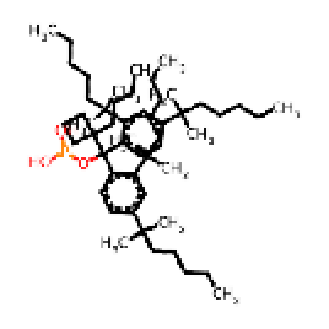 CCCCCC(C)(C)c1ccc(C(OP(O)O)(c2ccc(C(C)(C)CCCCC)cc2C(C)(C)CCCCC)C2(CCCC)CCC2)c(C(C)(C)CCCCC)c1